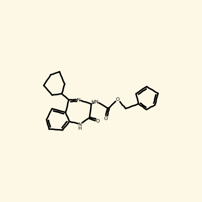 O=C(N[C@H]1N=C(C2CCCCC2)c2ccccc2NC1=O)OCc1ccccc1